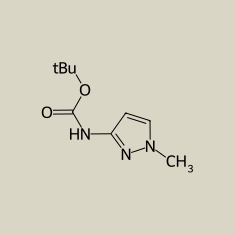 Cn1ccc(NC(=O)OC(C)(C)C)n1